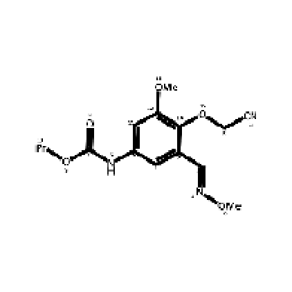 CO/N=C/c1cc(NC(=O)OC(C)C)cc(OC)c1OCC#N